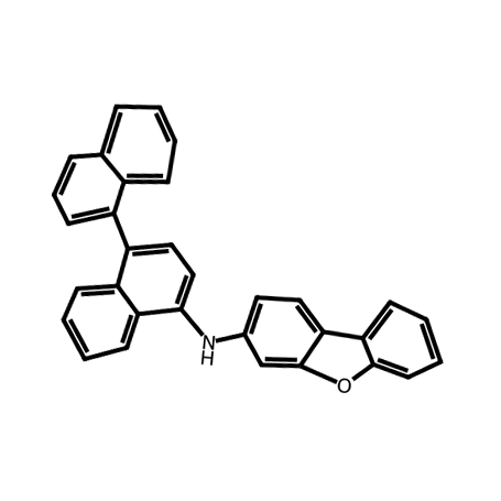 c1ccc2c(-c3ccc(Nc4ccc5c(c4)oc4ccccc45)c4ccccc34)cccc2c1